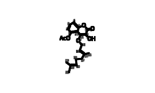 CC(=O)Oc1cccc2oc(=O)c(O)c(OC/C=C(\C)CCC=C(C)C)c12